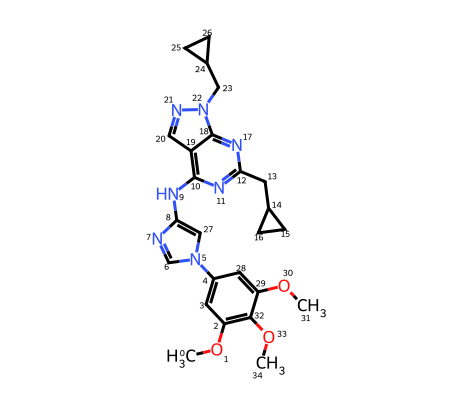 COc1cc(-n2cnc(Nc3nc(CC4CC4)nc4c3cnn4CC3CC3)c2)cc(OC)c1OC